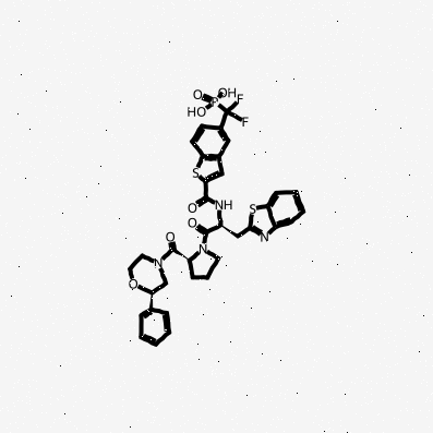 O=C(N[C@@H](Cc1nc2ccccc2s1)C(=O)N1CCC[C@H]1C(=O)N1CCO[C@H](c2ccccc2)C1)c1cc2cc(C(F)(F)P(=O)(O)O)ccc2s1